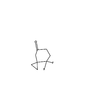 O=C1CCC(F)(F)C2(CC2)C1